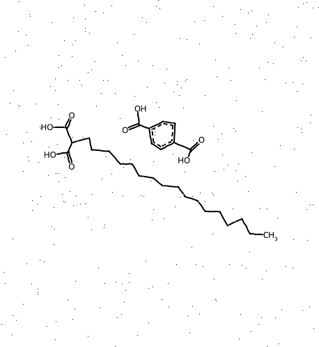 CCCCCCCCCCCCCCCCCC(C(=O)O)C(=O)O.O=C(O)c1ccc(C(=O)O)cc1